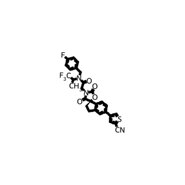 CC(N(Cc1ccc(F)cc1)C(=O)CN1C(=O)O[C@@]2(CCc3cc(-c4csc(C#N)c4)ccc32)C1=O)C(F)(F)F